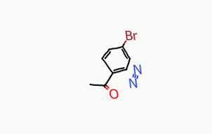 CC(=O)c1ccc(Br)cc1.N#N